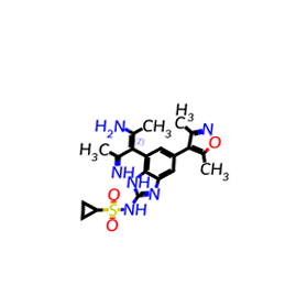 CC(=N)/C(=C(/C)N)c1cc(-c2c(C)noc2C)cc2nc(NS(=O)(=O)C3CC3)[nH]c12